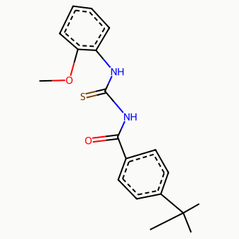 COc1ccccc1NC(=S)NC(=O)c1ccc(C(C)(C)C)cc1